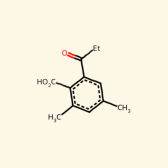 CCC(=O)c1cc(C)cc(C)c1C(=O)O